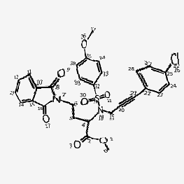 COC(=O)C(CCN1C(=O)c2ccccc2C1=O)N(CC#Cc1ccc(Cl)cc1)S(=O)(=O)c1ccc(OC)cc1